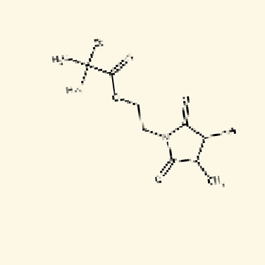 CCC(C)(C)C(=O)OCCN1C(=O)C(C)C(C(C)C)C1=O